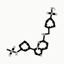 CS(=O)(=O)Nc1cccc(-c2cnc3ccc(NCc4ccc(S(N)(=O)=O)cc4)nn23)c1